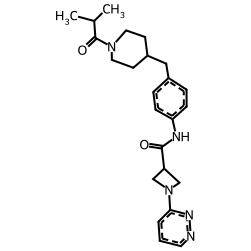 CC(C)C(=O)N1CCC(Cc2ccc(NC(=O)C3CN(c4cccnn4)C3)cc2)CC1